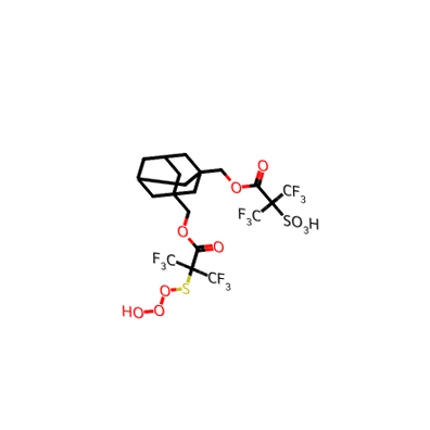 O=C(OCC12CC3CC(C1)CC(COC(=O)C(C(F)(F)F)(C(F)(F)F)S(=O)(=O)O)(C3)C2)C(SOOO)(C(F)(F)F)C(F)(F)F